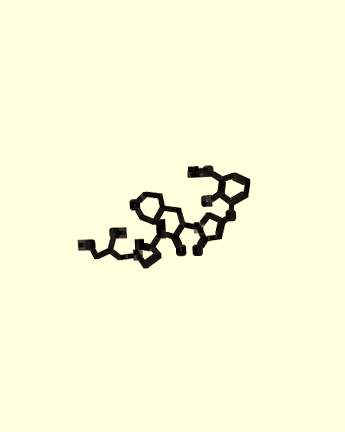 COc1cccc(OC2=CC(=O)N(C(CC3CCOCC3)C(=O)Nc3ccn(CC(O)CO)n3)C2)c1Cl